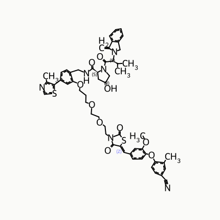 C=C1c2ccccc2CN1[C@H](C(=O)N1C[C@H](O)C[C@H]1C(=O)NCc1ccc(-c2scnc2C)cc1OCCCOCCOCCN1C(=O)S/C(=C\c2ccc(Oc3ccc(C#N)cc3C)c(OC)c2)C1=O)C(C)C